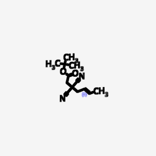 C/C=C/CC(C#N)(C#N)CC(=O)OC(C)(C)C